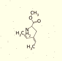 C=C/C(=C\C)CC(N)C(=O)OC